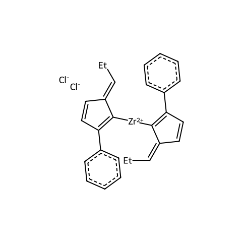 CCC=C1C=CC(c2ccccc2)=[C]1[Zr+2][C]1=C(c2ccccc2)C=CC1=CCC.[Cl-].[Cl-]